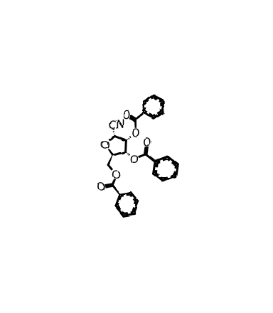 N#C[C@H]1O[C@H](COC(=O)c2ccccc2)[C@@H](OC(=O)c2ccccc2)[C@H]1OC(=O)c1ccccc1